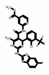 COC(=O)c1ccnc(NC(=O)C2=C(C)NC(Nc3nc4ccc(F)cc4o3)=NC2c2cccc(C(F)(F)F)c2Cl)c1